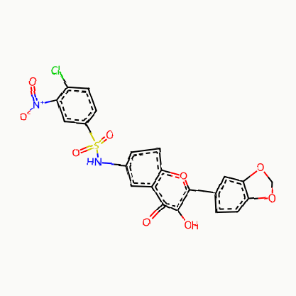 O=c1c(O)c(-c2ccc3c(c2)OCO3)oc2ccc(NS(=O)(=O)c3ccc(Cl)c([N+](=O)[O-])c3)cc12